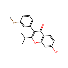 CSc1cccc(-c2c(C(C)C)oc3cc(O)ccc3c2=O)c1